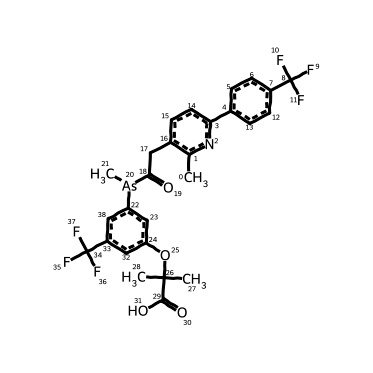 Cc1nc(-c2ccc(C(F)(F)F)cc2)ccc1CC(=O)[As](C)c1cc(OC(C)(C)C(=O)O)cc(C(F)(F)F)c1